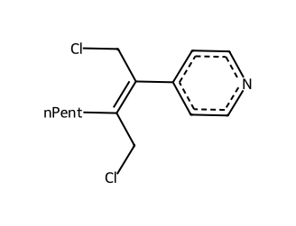 CCCCCC(CCl)=C(CCl)c1ccncc1